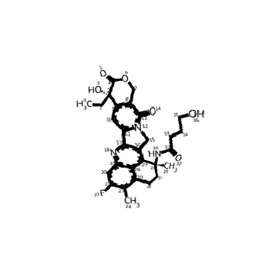 CC[C@@]1(O)C(=O)OCc2c1cc1n(c2=O)Cc2c-1nc1cc(F)c(C)c3c1c2[C@](C)(NC(=O)CCCO)CC3